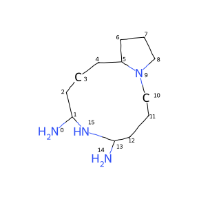 NC1CCCC2CCCN2CCCC(N)N1